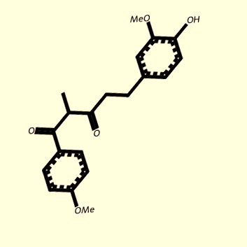 COc1ccc(C(=O)C(C)C(=O)CCc2ccc(O)c(OC)c2)cc1